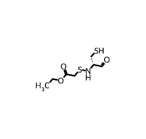 CCOC(=O)CSN[C@@H](C=O)CS